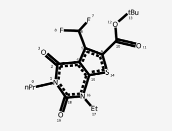 CCCn1c(=O)c2c(C(F)F)c(C(=O)OC(C)(C)C)sc2n(CC)c1=O